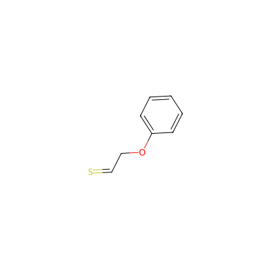 S=CCOc1ccccc1